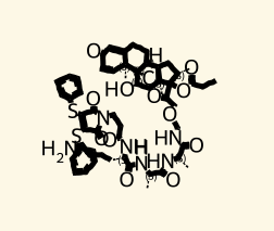 CCC(=O)OC1(C(=O)COCNC(=O)[C@H](C)NC(=O)[C@H](C)NC(=O)[C@H](CCCCN)NC(=O)CCN2C(=O)C(Sc3ccccc3)=C(Sc3ccccc3)C2=O)[C@@H](C)CC2[C@@H]3CCC4=CC(=O)C=C[C@]4(C)[C@@]3(Cl)[C@@H](O)C[C@@]21C